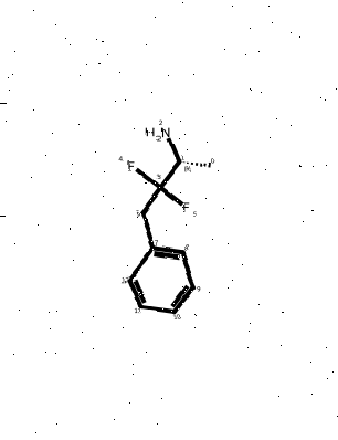 C[C@@H](N)C(F)(F)Cc1ccccc1